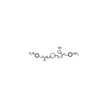 O=C(N=CN1CCCN(C(=O)[C@@H]2C[C@H](S)CN2C(=O)OCc2ccc([N+](=O)[O-])cc2)CC1)OCc1ccc([N+](=O)[O-])cc1